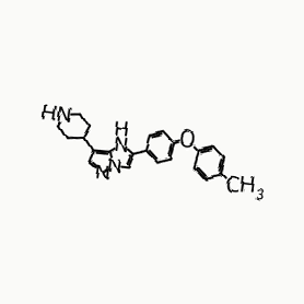 Cc1ccc(Oc2ccc(-c3cn4ncc(C5CCNCC5)c4[nH]3)cc2)cc1